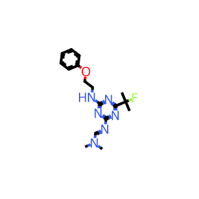 CN(C)/C=N/c1nc(NCCOc2ccccc2)nc(C(C)(C)F)n1